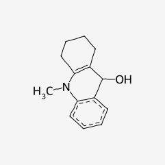 CN1C2=C(CCCC2)C(O)c2ccccc21